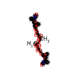 CC(COCC(C)OC(=O)CCC(=O)OCCOc1ccc(C2(c3ccccc3)C=Cc3c(cc(N4CCOCC4)c4ccccc34)O2)cc1)OC(=O)CCC(=O)COCOc1ccc(C2(c3ccccc3)C=Cc3c(cc(N4CCOCC4)c4ccccc34)O2)cc1